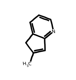 CC1=Cc2ncccc2C1